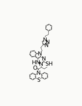 CCC(C(=O)N1c2ccccc2Sc2ccccc21)N1Nc2c(n(CCc3cn(CCc4ccccc4)nn3)c3ccccc23)N=C1S